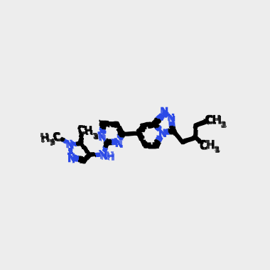 CCC(C)Cc1nnc2cc(-c3ccnc(NC4C=NN(C)C4C)n3)ccn12